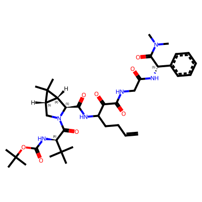 C=CCCC(NC(=O)[C@@H]1[C@@H]2[C@H](CN1C(=O)[C@H](NC(=O)OC(C)(C)C)C(C)(C)C)C2(C)C)C(=O)C(=O)NCC(=O)N[C@H](C(=O)N(C)C)c1ccccc1